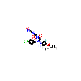 CC(C)Oc1ccc(Nc2cc(=O)n(CC(=O)NCCN=O)c(=O)n2Cc2ccc(Cl)cc2)cc1F